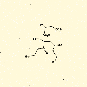 CC(C)C(CC(=O)O)C(=O)O.CC(C)CC(CC(=O)OCC(C)(C)C)C(=O)OCC(C)(C)C